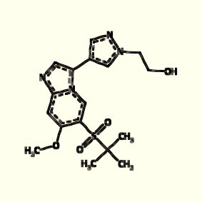 COc1cc2ncc(-c3cnn(CCO)c3)n2cc1S(=O)(=O)C(C)(C)C